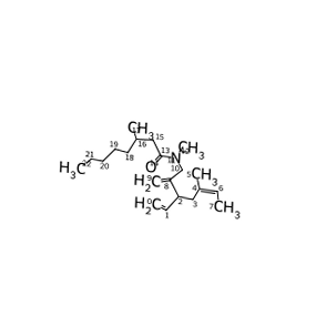 C=CC(C/C(C)=C\C)C(=C)CN(C)C(=O)CC(C)CCCCC